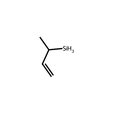 C=CC(C)[SiH3]